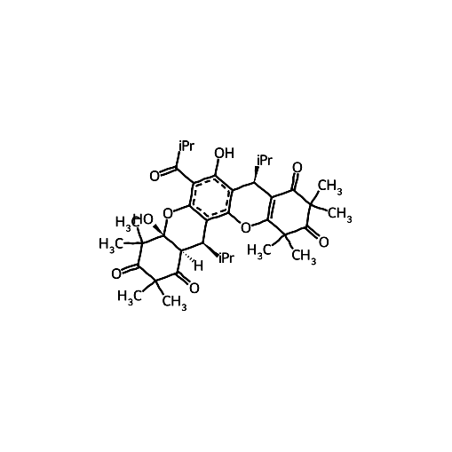 CC(C)C(=O)c1c(O)c2c(c3c1O[C@]1(O)[C@H](C(=O)C(C)(C)C(=O)C1(C)C)[C@@H]3C(C)C)OC1=C(C(=O)C(C)(C)C(=O)C1(C)C)[C@@H]2C(C)C